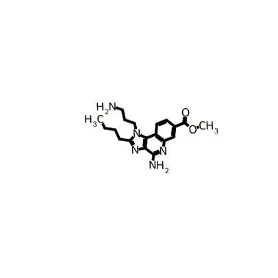 CCCCc1nc2c(N)nc3cc(C(=O)OC)ccc3c2n1CCCN